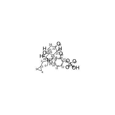 C[N+]1(CC2CC2)CC[C@]23c4c5ccc(OS(=O)(=O)O)c4O[C@H]2C(=O)CC[C@@]3(O)[C@H]1C5